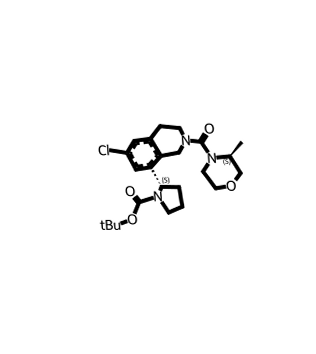 C[C@H]1COCCN1C(=O)N1CCc2cc(Cl)cc([C@@H]3CCCN3C(=O)OC(C)(C)C)c2C1